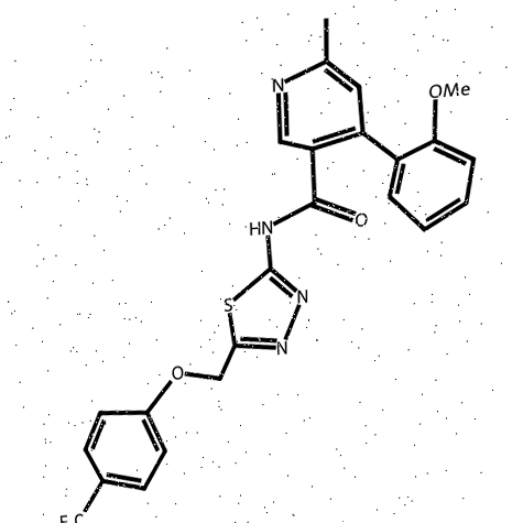 COc1ccccc1-c1cc(C)ncc1C(=O)Nc1nnc(COc2ccc(C(F)(F)F)cc2)s1